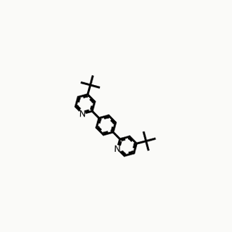 CC(C)(C)c1ccnc(-c2ccc(-c3cc(C(C)(C)C)ccn3)cc2)c1